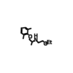 CCOCCNC(C)COc1c(C)cccc1C